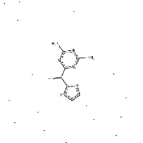 CCC(c1nc(N)nc(N)n1)c1ncc[nH]1